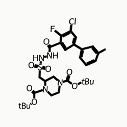 Cc1cccc(-c2cc(Cl)c(F)c(C(=O)NNS(=O)(=O)CC3CN(C(=O)OC(C)(C)C)CCN3C(=O)OC(C)(C)C)c2)c1